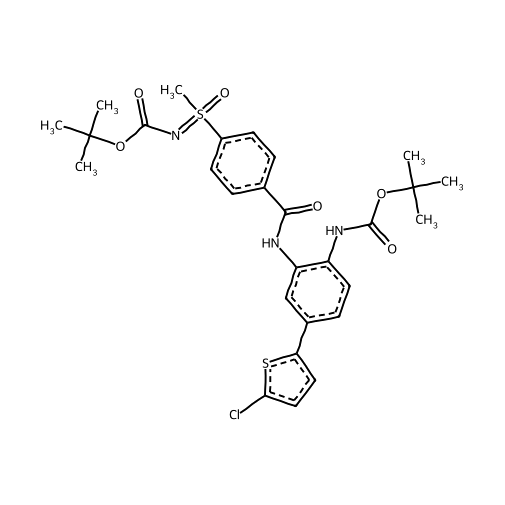 CC(C)(C)OC(=O)N=S(C)(=O)c1ccc(C(=O)Nc2cc(-c3ccc(Cl)s3)ccc2NC(=O)OC(C)(C)C)cc1